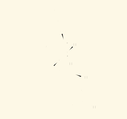 C=C1C[C@@H]2[C@@H](CC[C@]3(C)C(OC(C)=O)CC[C@@H]23)[C@@]2(C)CCC(=O)C=C12